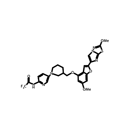 COc1cc(OCC2CCCN(c3ccc(NC(=O)C(F)(F)F)nc3)C2)c2cc(-c3cn4nc(OC)sc4n3)oc2c1